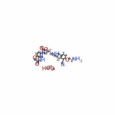 N#Cc1c(OCCN)ccc2c1CC(CNCCC1CN(c3ccc4c(n3)NC(=O)CO4)C(=O)O1)C2.O=CO